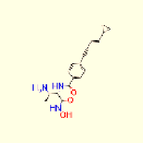 C[C@@H](N)[C@H](NC(=O)c1ccc(C#C/C=C/C2CC2)cc1)C(=O)NO